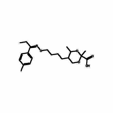 CCC(=NOCCCCC1COC(C)(C(=O)O)OC1C)c1ccc(C)cc1